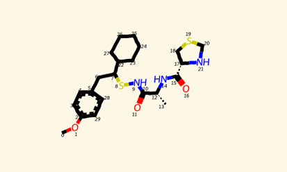 COc1ccc(CC(SNC(=O)[C@@H](C)NC(=O)[C@@H]2CSCN2)C2CCCCC2)cc1